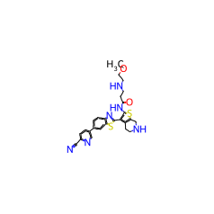 COCCNCCC(=O)Nc1sc2c(c1-c1nc3ccc(-c4ccc(C#N)nc4)cc3s1)CCNC2